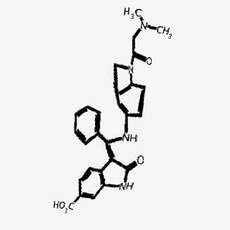 CN(C)CC(=O)N1CCc2cc(NC(=C3C(=O)Nc4cc(C(=O)O)ccc43)c3ccccc3)ccc21